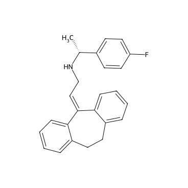 C[C@@H](NCC=C1c2ccccc2CCc2ccccc21)c1ccc(F)cc1